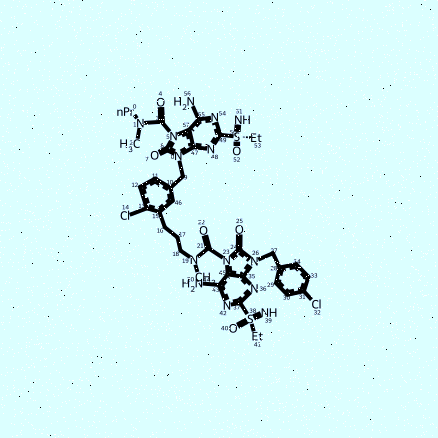 CCCN(C)C(=O)n1c(=O)n(Cc2ccc(Cl)c(CCCN(C)C(=O)n3c(=O)n(Cc4ccc(Cl)cc4)c4nc(S(=N)(=O)CC)nc(N)c43)c2)c2nc([S@@](=N)(=O)CC)nc(N)c21